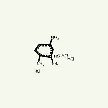 Cc1ccc(N)cc1N.Cl.Cl.Cl.Cl